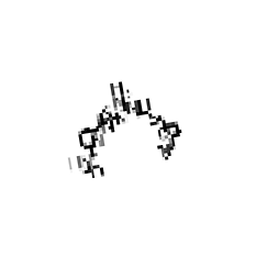 CC(=O)NCc1cccc(-c2csc(/N=C(\N)NCCSCc3ccc(CN(C)C)o3)n2)n1